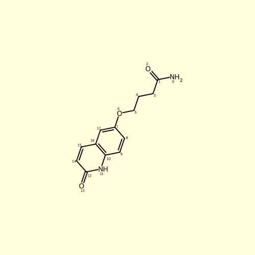 NC(=O)CCCOc1ccc2[nH]c(=O)ccc2c1